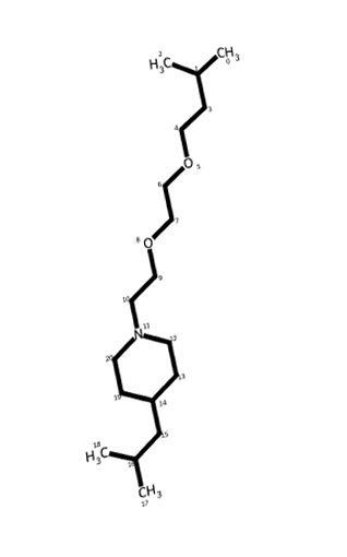 CC(C)CCOCCOCCN1CCC(CC(C)C)CC1